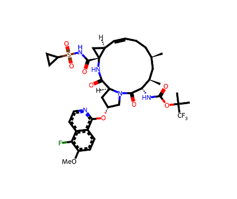 COc1ccc2c(O[C@@H]3C[C@H]4C(=O)N[C@]5(C(=O)NS(=O)(=O)C6CC6)C[C@H]5/C=C\CC[C@@H](C)C[C@@H](C)[C@H](NC(=O)OC(C)(C)C(F)(F)F)C(=O)N4C3)nccc2c1F